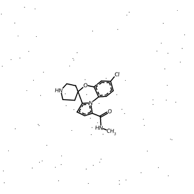 CNC(=O)c1ccc2n1-c1ccc(Cl)cc1OC21CCNCC1